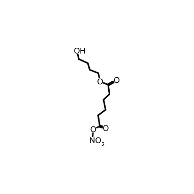 O=C(CCCCC(=O)O[N+](=O)[O-])OCCCCO